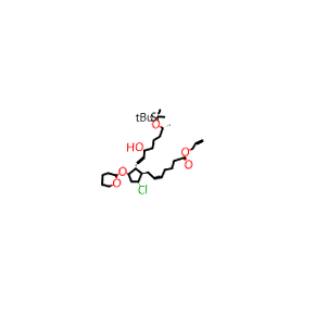 C=CCOC(=O)CCC/C=C\C[C@@H]1[C@@H](/C=C/[C@@H](O)CCC[C@@H](C)O[Si](C)(C)C(C)(C)C)[C@H](OC2CCCCO2)C[C@H]1Cl